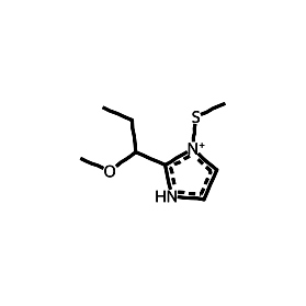 CCC(OC)c1[nH]cc[n+]1SC